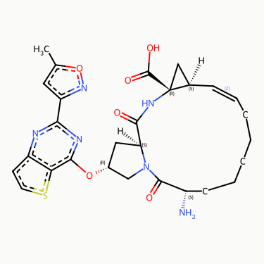 Cc1cc(-c2nc(O[C@@H]3C[C@H]4C(=O)N[C@]5(C(=O)O)C[C@H]5/C=C\CCCCC[C@H](N)C(=O)N4C3)c3sccc3n2)no1